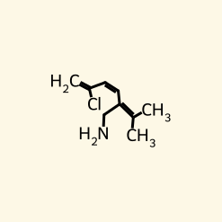 C=C(Cl)/C=C\C(CN)=C(C)C